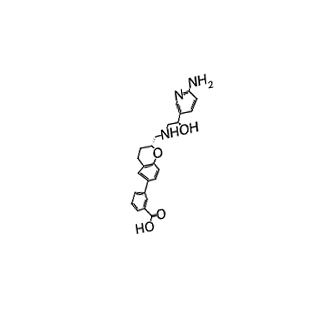 Nc1ccc([C@@H](O)CNC[C@H]2CCc3cc(-c4cccc(C(=O)O)c4)ccc3O2)cn1